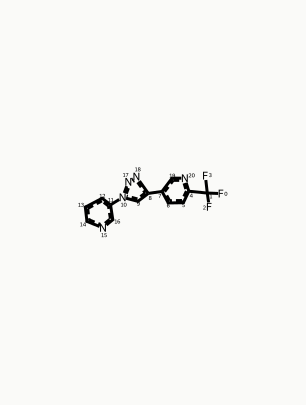 FC(F)(F)c1ccc(-c2cn(-c3cccnc3)nn2)cn1